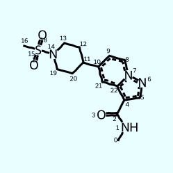 CNC(=O)c1cnn2ccc(C3CCN(S(C)(=O)=O)CC3)cc12